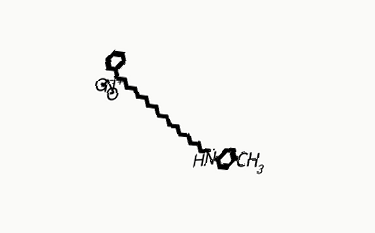 Cc1ccc(N[CH]CCCCCCCCCCCCCCCC[C](c2ccccc2)[N+](=O)[O-])cc1